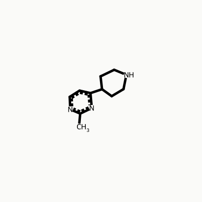 Cc1nccc(C2CCNCC2)n1